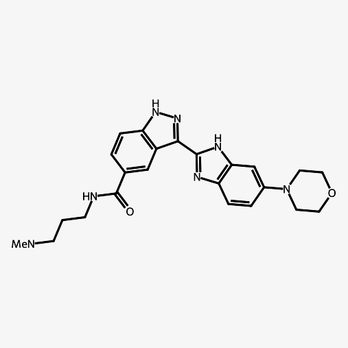 CNCCCNC(=O)c1ccc2[nH]nc(-c3nc4ccc(N5CCOCC5)cc4[nH]3)c2c1